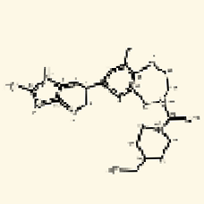 Cc1cc(C2C=c3[nH]c(N)nc3=NC2)cc2c1OCCN(C(=O)N1CCC(CF)CC1)C2